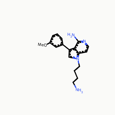 COc1cccc(-c2cn(CCCCN)c3ccnc(N)c23)c1